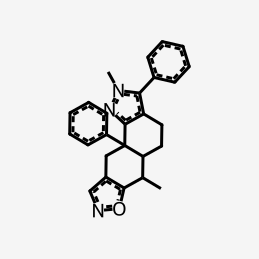 CC1c2oncc2CC2(c3ccccc3)c3nn(C)c(-c4ccccc4)c3CCC12